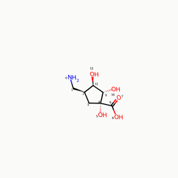 NC[C@@H]1C[C@](O)(C(=O)O)[C@@H](O)[C@@H]1O